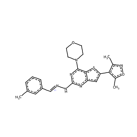 Cc1cccc(/C=N/Nc2nc(N3CCOCC3)c3sc(-c4c(C)noc4C)cc3n2)c1